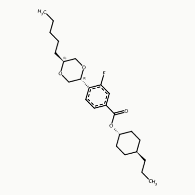 CCCCC[C@H]1CO[C@H](c2ccc(C(=O)O[C@H]3CC[C@H](CCC)CC3)cc2F)CO1